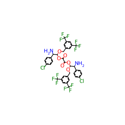 NC(c1ccc(Cl)cc1)C(OCc1cc(C(F)(F)F)cc(C(F)(F)F)c1)OC(=O)C(=O)OC(OCc1cc(C(F)(F)F)cc(C(F)(F)F)c1)C(N)c1ccc(Cl)cc1